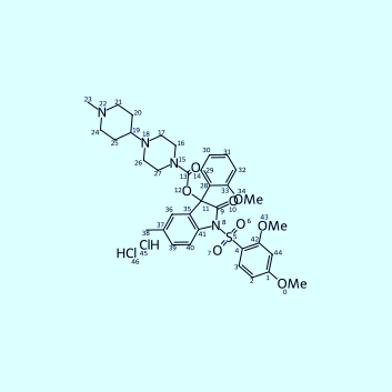 COc1ccc(S(=O)(=O)N2C(=O)C(OC(=O)N3CCN(C4CCN(C)CC4)CC3)(c3ccccc3OC)c3cc(C)ccc32)c(OC)c1.Cl.Cl